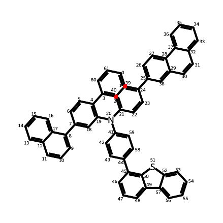 c1ccc(-c2ccc(-c3cccc4ccccc34)cc2N(c2ccc(-c3ccc4c(ccc5ccccc54)c3)cc2)c2ccc(-c3cccc4c3sc3ccccc34)cc2)cc1